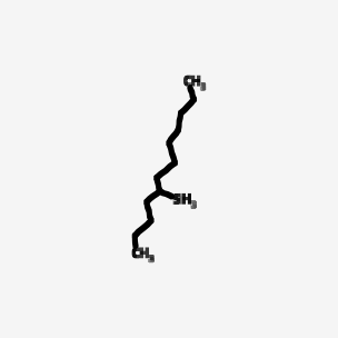 CCCCCCCC([SiH3])CCCC